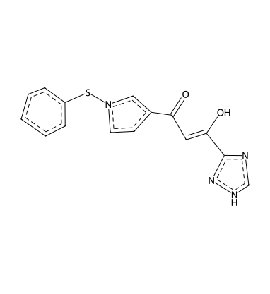 O=C(C=C(O)c1nc[nH]n1)c1ccn(Sc2ccccc2)c1